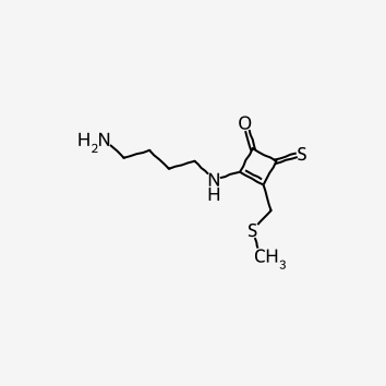 CSCc1c(NCCCCN)c(=O)c1=S